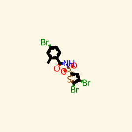 Cc1cc(Br)ccc1C(=O)NS(=O)(=O)c1cc(Br)c(Br)s1